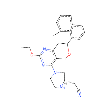 CCOc1nc2c(c(N3CCN[C@@H](CC#N)C3)n1)COC(c1cccc3cccc(C)c13)C2